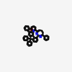 C1=C(c2ccccn2)/N=C(c2cccc3c2-c2cc4oc5ccccc5c4cc2C3(c2ccccc2)c2ccccc2)\N=C(\c2ccccc2)CC\1